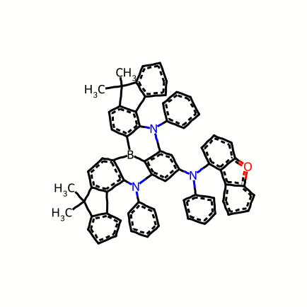 CC1(C)c2ccccc2-c2c1ccc1c2N(c2ccccc2)c2cc(N(c3ccccc3)c3cccc4oc5ccccc5c34)cc3c2B1c1ccc2c(c1N3c1ccccc1)-c1ccccc1C2(C)C